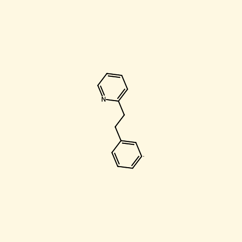 [c]1cccc(CCc2ccccn2)c1